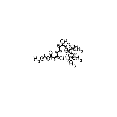 CCOC(=O)C=C(C)CC=C[C@H](C)[C@H](CC)O[Si](CC)(CC)CC